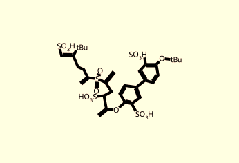 C=C(Oc1ccc(-c2ccc(OC(C)(C)C)c(S(=O)(=O)O)c2)cc1S(=O)(=O)O)C(CC(=C)S(=O)(=O)C(=C)CC/C(=C/S(=O)(=O)O)C(C)(C)C)S(=O)(=O)O